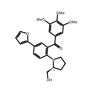 COc1cc(C(=O)c2cc(-c3ccco3)ccc2N2CCC[C@H]2CO)cc(OC)c1OC